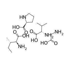 CC(C)[C@H](N)C(=O)O.CC[C@H](C)[C@H](N)C(=O)O.NCC(=O)O.O=C(O)[C@@H]1CCCN1